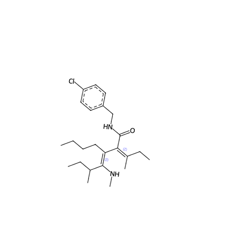 CCCCC(/C(C(=O)NCc1ccc(Cl)cc1)=C(\C)CC)=C(/NC)C(C)CC